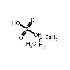 O.O.O=S(=O)(O)O.[CaH2]